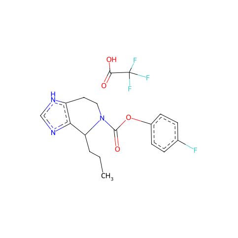 CCCC1c2nc[nH]c2CCN1C(=O)Oc1ccc(F)cc1.O=C(O)C(F)(F)F